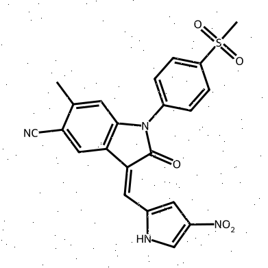 Cc1cc2c(cc1C#N)C(=Cc1cc([N+](=O)[O-])c[nH]1)C(=O)N2c1ccc(S(C)(=O)=O)cc1